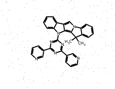 CC1(C)c2ccccc2-n2cc3c4ccccc4n(-c4nc(-c5cccnc5)nc(-c5cccnc5)n4)c3c21